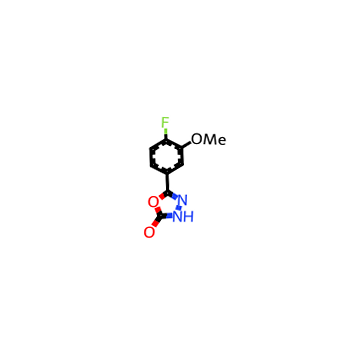 COc1cc(-c2n[nH]c(=O)o2)ccc1F